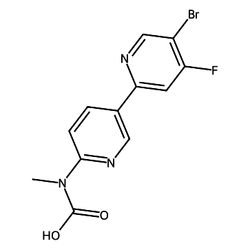 CN(C(=O)O)c1ccc(-c2cc(F)c(Br)cn2)cn1